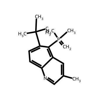 C=P(C)(C)c1c(C(C)(C)C)ccc2ncc(C)cc12